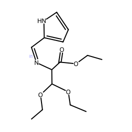 CCOC(=O)C(/N=C\c1ccc[nH]1)C(OCC)OCC